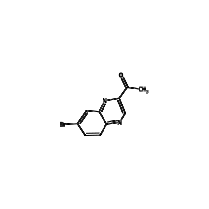 CC(=O)c1cnc2ccc(Br)cc2n1